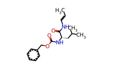 CC=CNC(=O)[C@H](CC(C)C)NC(=O)OCc1ccccc1